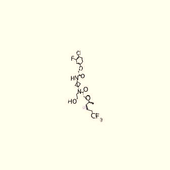 C=C(/C=C\CC(F)(F)F)OCC(=O)N(CCO)C12CC(NC(=O)COc3ccc(Cl)c(F)c3)(C1)C2